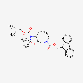 CC(C)COC(=O)N1C2CC=CCN(C(=O)OCC3c4ccccc4-c4ccccc43)CC2OC1(C)C